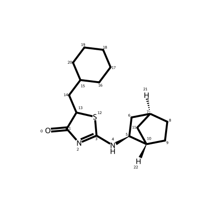 O=C1N=C(N[C@H]2C[C@H]3CC[C@H]2C3)SC1CC1CCCCC1